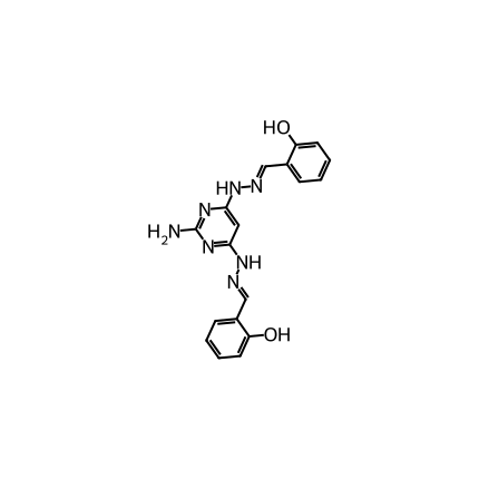 Nc1nc(NN=Cc2ccccc2O)cc(NN=Cc2ccccc2O)n1